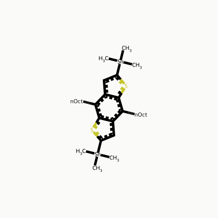 CCCCCCCCc1c2c[c]([Sn]([CH3])([CH3])[CH3])sc2c(CCCCCCCC)c2c[c]([Sn]([CH3])([CH3])[CH3])sc12